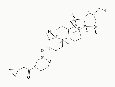 C[C@@H]1CC(CI)OC2[C@H]1[C@@]1(C)CCC34C[C@@]35CC[C@H](O[C@H]3CN(C(=O)CC6CC6)CCO3)C(C)(C)[C@@H]5CCC4[C@]1(C)[C@H]2O